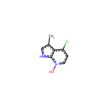 Cc1c[nH]c2c1c(Cl)cc[n+]2O